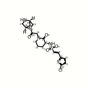 O=C1[C@@H](NS(=O)(=O)/C=C/c2ccc(Cl)s2)CCCN1CC(=O)N1C[C@@H]2C[C@H]1CN2